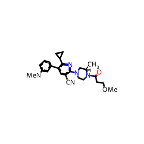 CNc1cccc(-c2cc(C#N)c(N3CCN(C(=O)CCOC)[C@H](C)C3)nc2C2CC2)c1